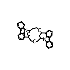 c1ccc2c(c1)c1cccc3c1n2C1CCCC2CC(CCCC3C1)n1c3ccccc3c3cccc2c31